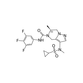 C[C@H]1Cn2ncc(N(C)S(=O)(=O)C3CC3)c2CN1C(=O)Nc1cc(F)c(F)c(F)c1